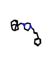 C(=Cc1ccccc1)CN1CCN(CC23CC4CC(CC(C4)C2)C3)CC1